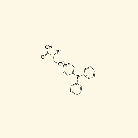 CCC(Br)C(=O)O.c1ccc(P(c2ccccc2)c2ccccc2)cc1